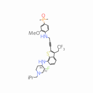 COc1cc(P(C)(C)=O)ccc1NCC#Cc1sc2c(N[C@@H]3CCN(CC(C)C)C[C@@H]3F)cccc2c1CC(F)(F)F